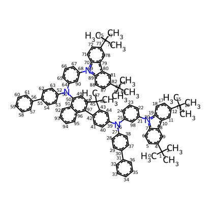 CC(C)(C)c1ccc2c(c1)c1cc(C(C)(C)C)ccc1n2-c1cccc(N(c2ccc(-c3ccccc3)cc2)c2ccc3c(c2)C(C)(C)c2cc(N(c4ccc(-c5ccccc5)cc4)c4cccc(-n5c6ccc(C(C)(C)C)cc6c6cc(C(C)(C)C)ccc65)c4)c4ccccc4c2-3)c1